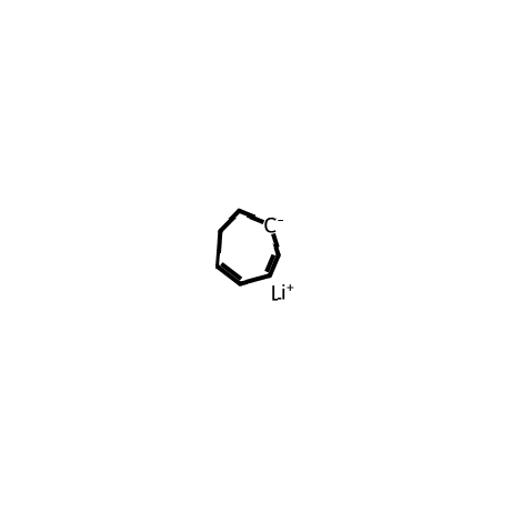 C1=C[CH-]CCC=C1.[Li+]